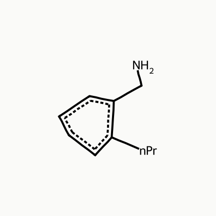 [CH2]CCc1ccccc1CN